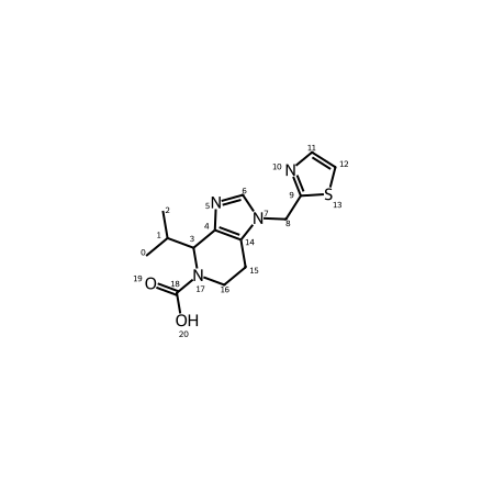 CC(C)C1c2ncn(Cc3nccs3)c2CCN1C(=O)O